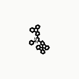 c1ccc(-c2nc(-c3ccc4c(c3)C3(c5ccccc5-c5ccccc53)c3ccccc3-4)cc(-c3ccc4c5ccccc5c5ccccc5c4c3)n2)cc1